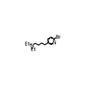 CCN(CC)CCCCc1ccc(Br)nc1